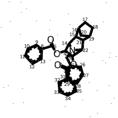 O=C(OC1C(OC(=O)c2ccccc2)C2C3C4CCC(C4)C3C1N2Cc1ccccc1)c1ccccc1